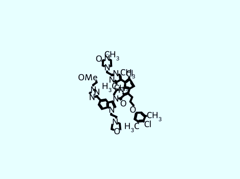 COCCn1cnc(-c2ccc3c(c2)c(N2CC(C)n4c(c(CCCOc5cc(C)c(Cl)c(C)c5)c5ccc(Cl)c(-c6c(C)nc(CN7CCN(C)C(=O)C7)nc6C)c54)C2=O)cn3CCN2CCOCC2)n1